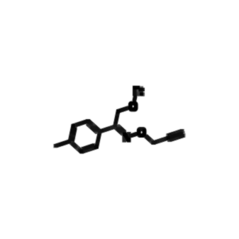 C#CCO/N=C(\COCC)c1ccc(C)cc1